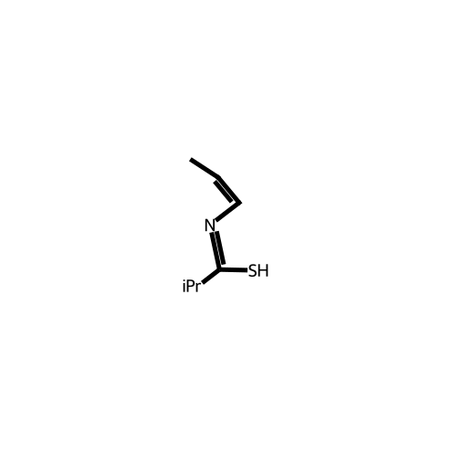 C/C=C\N=C(/S)C(C)C